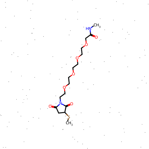 CNC(=O)COCCOCCOCCOCCN1C(=O)CC(SC)C1=O